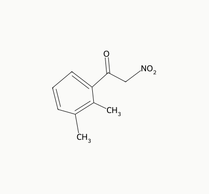 Cc1cccc(C(=O)C[N+](=O)[O-])c1C